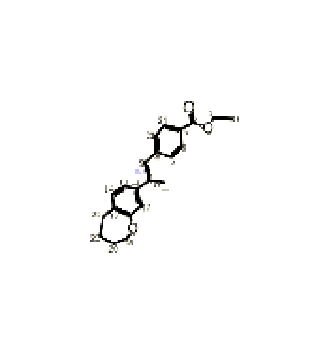 CCOC(=O)c1ccc(/C=C(\C)c2ccc3c(c2)OCCCC3)cc1